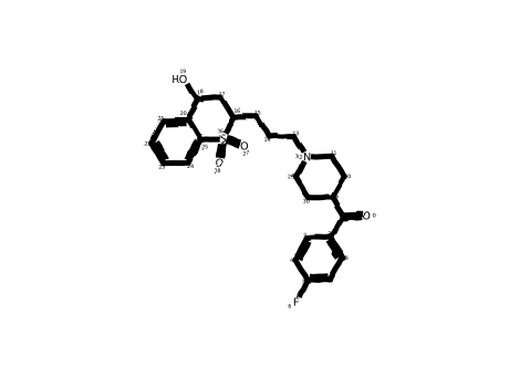 O=C(c1ccc(F)cc1)C1CCN(CCCC2CC(O)c3ccccc3S2(=O)=O)CC1